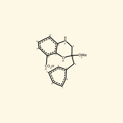 COC1(Cc2ccccc2)CNc2cccc(C(=O)O)c2O1